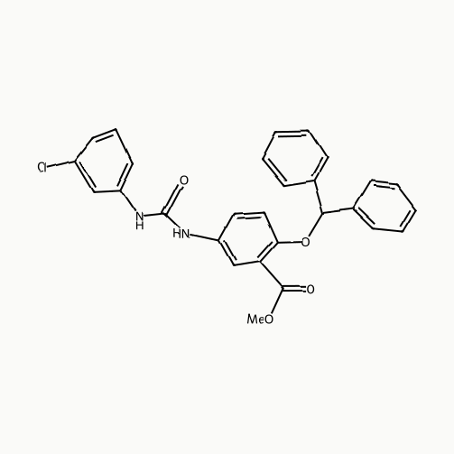 COC(=O)c1cc(NC(=O)Nc2cccc(Cl)c2)ccc1OC(c1ccccc1)c1ccccc1